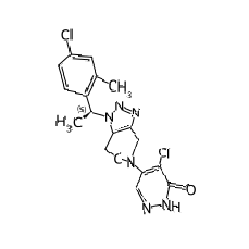 Cc1cc(Cl)ccc1[C@H](C)n1nnc2c1CCN(c1cn[nH]c(=O)c1Cl)C2